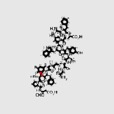 CCCC[C@@H](C(=O)N1CCC[C@@H]1C(=O)N[C@H](C=O)CC(=O)O)N(C)C(=O)[C@H](Cc1ccccc1)N(C)C(=O)[C@H](Cc1cc(F)c(F)c(F)c1)NC(=O)CSC[C@H](NC(=O)[C@H](CC(C)C)NC(=O)[C@H](Cc1ccc(O)cc1)NC(=O)[C@H](Cc1c[nH]c2ccccc12)NC(=O)[C@H]1C[C@H](O)CN1C(=O)[C@H](CCC(=O)O)NC(=O)C(Cc1ccccc1)N(C)C(=O)[C@@H](N)C(C)C)C(=O)NCC(N)=O